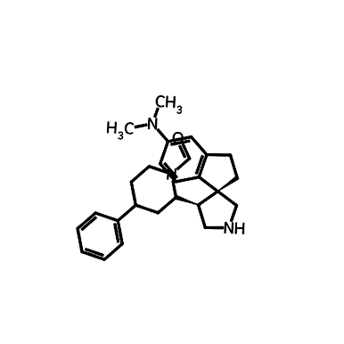 CN(C)c1ccc2c(c1)CC[C@]21CNC[C@H]1C1CC(c2ccccc2)CCN1C=O